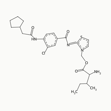 CCC(C)C(N)C(=O)OCn1ccs/c1=N\C(=O)c1ccc(NC(=O)CC2CCCC2)c(Cl)c1